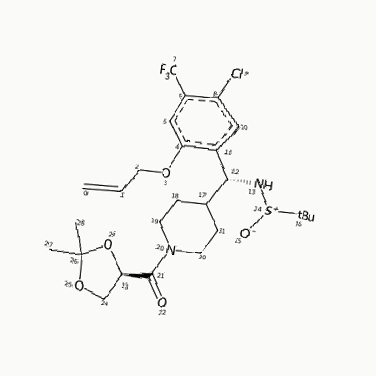 C=CCOc1cc(C(F)(F)F)c(Cl)cc1[C@H](N[S+]([O-])C(C)(C)C)C1CCN(C(=O)[C@H]2COC(C)(C)O2)CC1